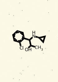 CC(O)C(NC1CC1)c1ccccc1Cl